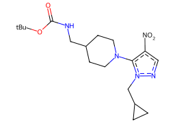 CC(C)(C)OC(=O)NCC1CCN(c2c([N+](=O)[O-])cnn2CC2CC2)CC1